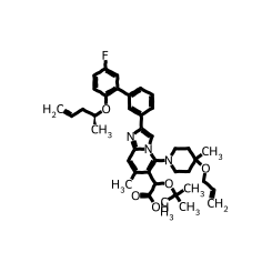 C=CCOC1(C)CCN(c2c(C(OC(C)(C)C)C(=O)O)c(C)cc3nc(-c4cccc(-c5cc(F)ccc5O[C@@H](C)CC=C)c4)cn23)CC1